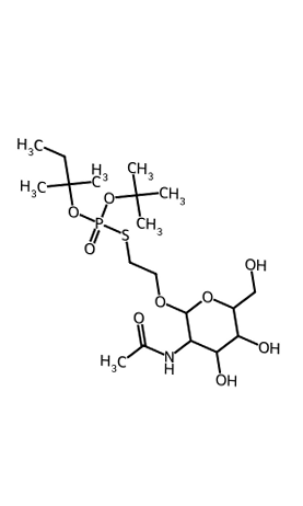 CCC(C)(C)OP(=O)(OC(C)(C)C)SCCOC1OC(CO)C(O)C(O)C1NC(C)=O